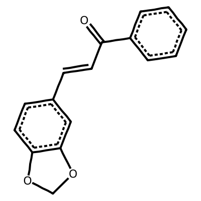 O=C(C=Cc1ccc2c(c1)OCO2)c1ccccc1